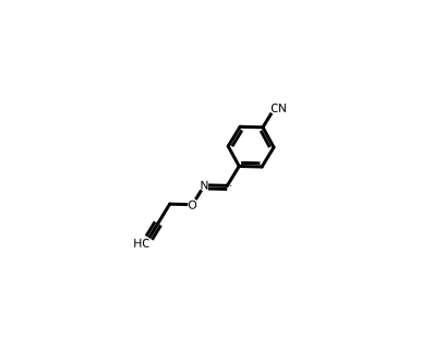 C#CCON=[C]c1ccc(C#N)cc1